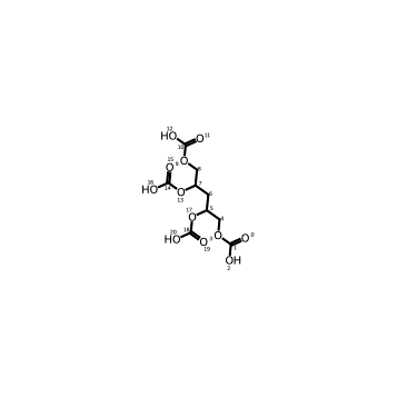 O=C(O)OCC(CC(COC(=O)O)OC(=O)O)OC(=O)O